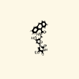 CCc1cn([C@H]2C[C@H](O)[C@@H](CNC(=O)C3c4ccccc4Cc4ccccc43)O2)c(=O)[nH]c1=O